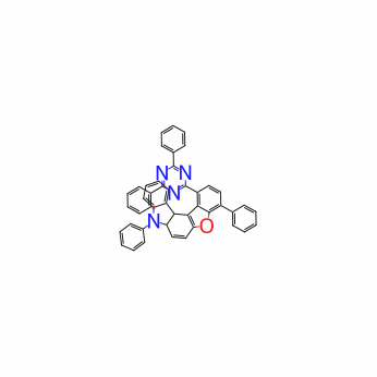 C1=CC2C(c3ccccc3N2c2ccccc2)c2c1oc1c(-c3ccccc3)ccc(-c3nc(-c4ccccc4)nc(-c4ccccc4)n3)c21